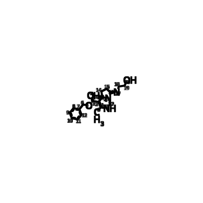 CC1=C(C(=O)OCc2ccccc2)[C@@H]2CCC(=NCCO)N2CN1